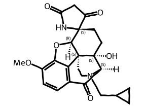 COc1ccc2c3c1O[C@@H]1[C@]34CCN(CC3CC3)[C@H](C2=O)[C@]4(O)CC[C@]12NC(=O)CC2=O